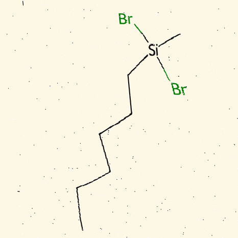 CCCCCC[Si](C)(Br)Br